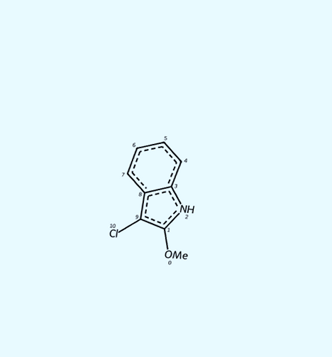 COc1[nH]c2ccccc2c1Cl